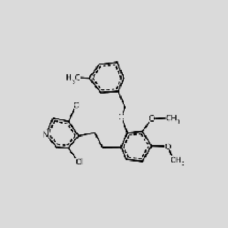 COc1ccc(CCc2c(Cl)cncc2Cl)c(OCc2cccc(C)c2)c1OC